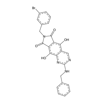 O=C1c2c(c(O)c3nc(NCc4ccccc4)ncc3c2O)C(=O)N1Cc1cccc(Br)c1